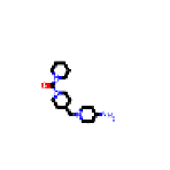 NC1CCN(CC2CCN(C(=O)N3CCCCC3)CC2)CC1